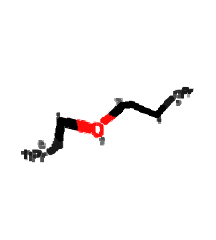 CC[CH]COCCCCC